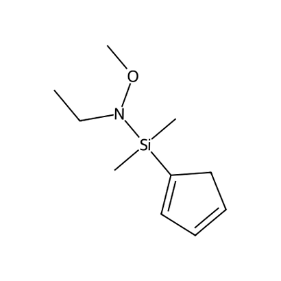 CCN(OC)[Si](C)(C)C1=CC=CC1